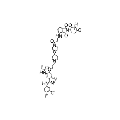 C=CC(=O)Nc1cc2c(Nc3ccc(F)c(Cl)c3)ncnc2cc1OCCCN1CCC(N2CCN(C(=O)CCNc3cccc4c3C(=O)N(C3CCC(=O)NC3=O)C4=O)CC2)CC1